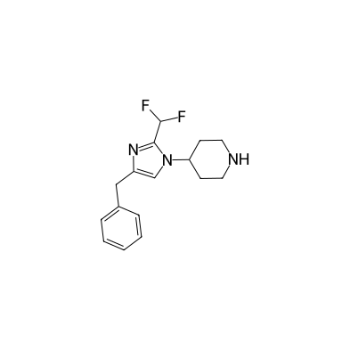 FC(F)c1nc(Cc2ccccc2)cn1C1CCNCC1